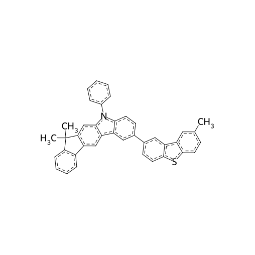 Cc1ccc2sc3ccc(-c4ccc5c(c4)c4cc6c(cc4n5-c4ccccc4)C(C)(C)c4ccccc4-6)cc3c2c1